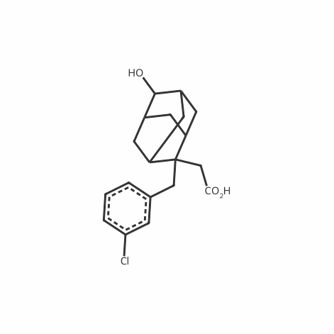 O=C(O)CC1(Cc2cccc(Cl)c2)C2CC3CC1CC(C2)C3O